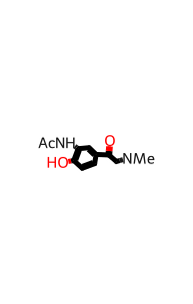 CNCC(=O)c1ccc(O)c(NC(C)=O)c1